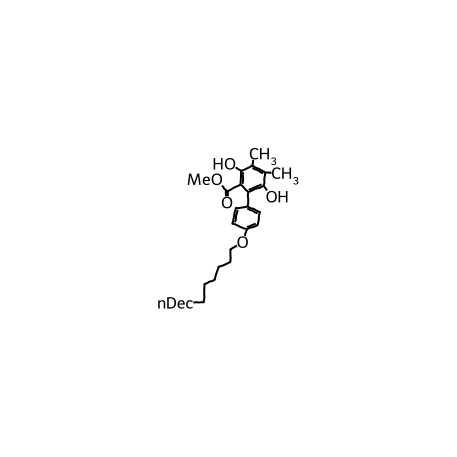 CCCCCCCCCCCCCCCCOc1ccc(-c2c(O)c(C)c(C)c(O)c2C(=O)OC)cc1